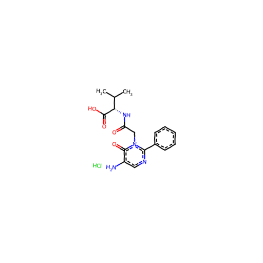 CC(C)[C@H](NC(=O)Cn1c(-c2ccccc2)ncc(N)c1=O)C(=O)O.Cl